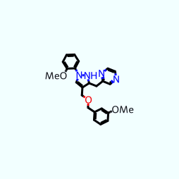 COc1cccc(COCC2=CN(c3ccccc3OC)NC2Cc2cnccn2)c1